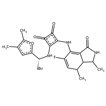 Cc1cc([C@H](Nc2c(NC3=C4C(=O)NC(C)C4C(C)C=C3F)c(=O)c2=O)C(C)(C)C)oc1C